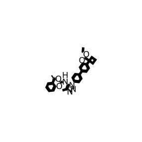 CCOC(=O)C1(c2ccc(-c3ccc(-n4nnc(C)c4NC(=O)O[C@H](C)c4ccccc4)cc3)cc2)CCC1